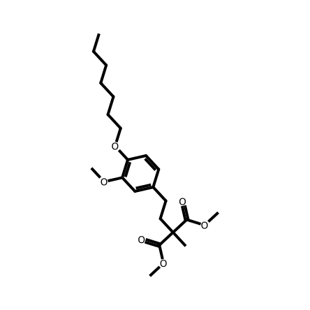 CCCCCCCOc1ccc(CCC(C)(C(=O)OC)C(=O)OC)cc1OC